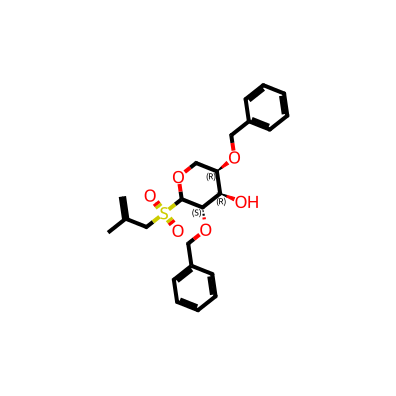 C=C(C)CS(=O)(=O)C1OC[C@@H](OCc2ccccc2)[C@@H](O)[C@@H]1OCc1ccccc1